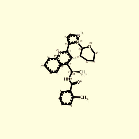 Cc1ccccc1C(=O)N[C@H](C)c1cc(-c2ccnn2C2CCCCO2)nc2ccccc12